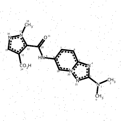 CN(C)c1nc2ccc(NC(=O)c3c(C(=O)O)cnn3C)cn2n1